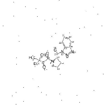 CCC(C)(C)C(=O)C(=O)N1CCC[C@H]1C(=O)n1nnc2ccccc21